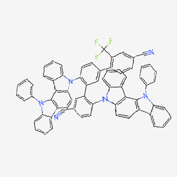 N#Cc1ccc(-n2c3ccccc3c3c2ccc2c4ccccc4n(-c4ccccc4)c23)c(-c2cc(-c3ccc(C#N)cc3C(F)(F)F)ccc2-n2c3ccccc3c3c2ccc2c4ccccc4n(-c4ccccc4)c23)c1